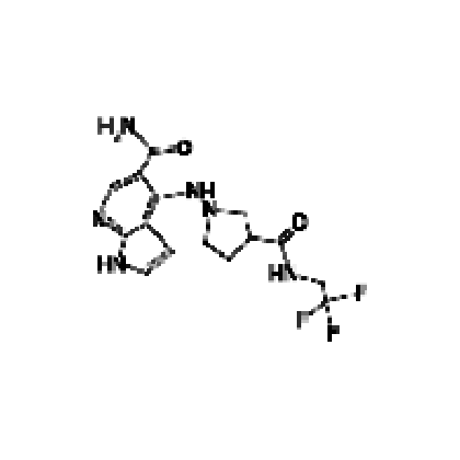 NC(=O)c1cnc2[nH]ccc2c1NN1CCC(C(=O)NCC(F)(F)F)C1